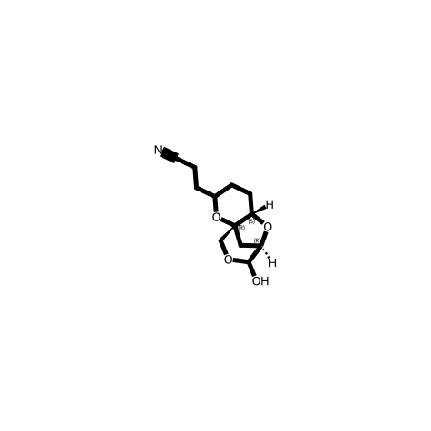 N#CCCC1CC[C@@H]2O[C@@H]3C[C@]2(COC3O)O1